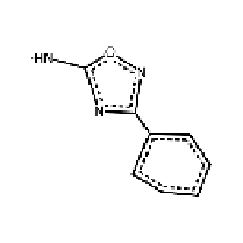 [NH]c1nc(-c2ccccc2)no1